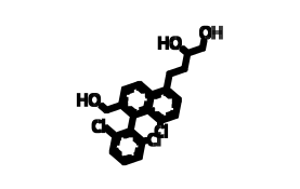 OCc1ccc2c(CCC(O)CO)ccc(Cl)c2c1-c1c(Cl)cccc1Cl